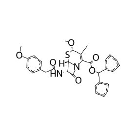 COc1ccc(CC(=O)N[C@H]2C(=O)N3C(C(=O)OC(c4ccccc4)c4ccccc4)=C(C)[C@@H](OC)S[C@@H]23)cc1